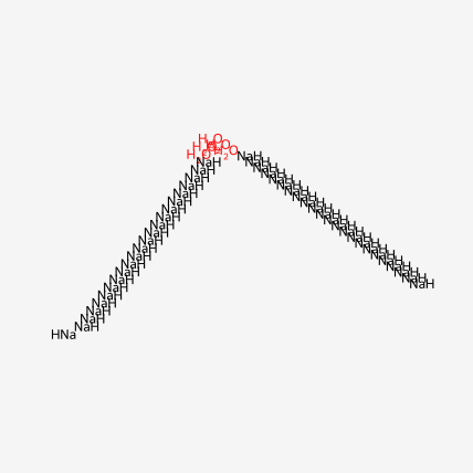 O.O.O.O.O.[NaH].[NaH].[NaH].[NaH].[NaH].[NaH].[NaH].[NaH].[NaH].[NaH].[NaH].[NaH].[NaH].[NaH].[NaH].[NaH].[NaH].[NaH].[NaH].[NaH].[NaH].[NaH].[NaH].[NaH].[NaH].[NaH].[NaH].[NaH].[NaH].[NaH].[NaH].[NaH].[NaH].[NaH].[NaH].[NaH].[NaH].[NaH].[NaH].[NaH].[NaH].[NaH].[NaH].[NaH].[NaH].[NaH]